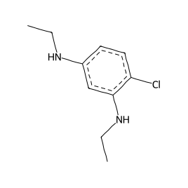 CCNc1ccc(Cl)c(NCC)c1